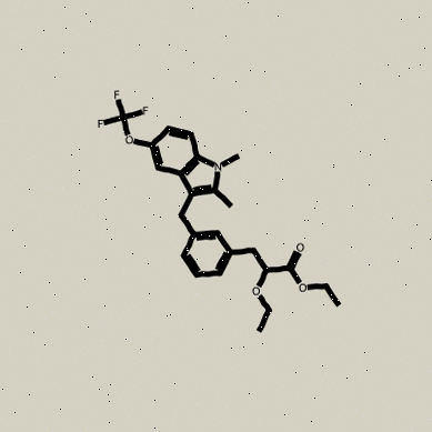 CCOC(=O)C(Cc1cccc(Cc2c(C)n(C)c3ccc(OC(F)(F)F)cc23)c1)OCC